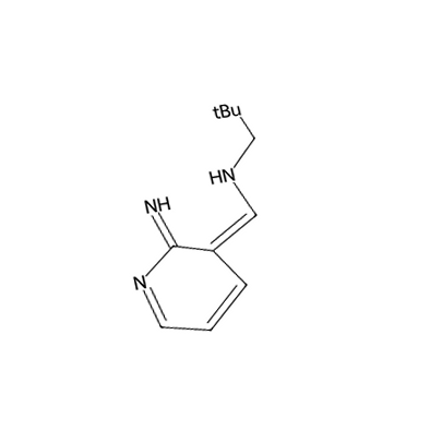 CC(C)(C)CN/C=C1/C=CC=NC1=N